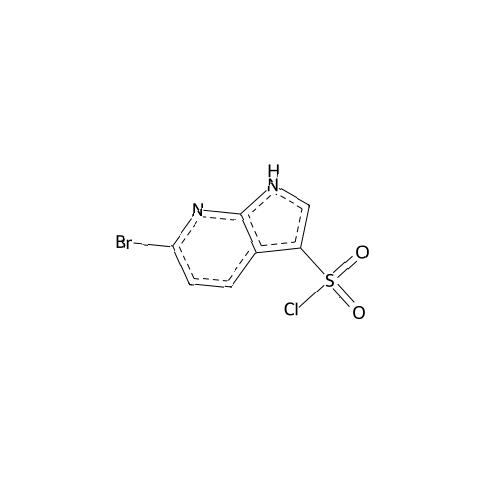 O=S(=O)(Cl)c1c[nH]c2nc(Br)ccc12